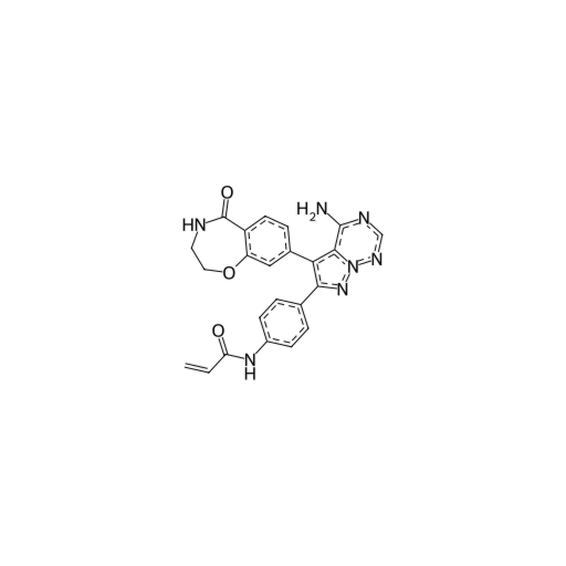 C=CC(=O)Nc1ccc(-c2nn3ncnc(N)c3c2-c2ccc3c(c2)OCCNC3=O)cc1